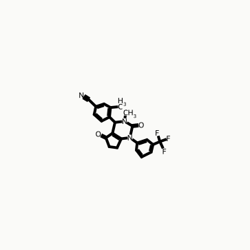 Cc1cc(C#N)ccc1C1C2=C(CCC2=O)N(c2cccc(C(F)(F)F)c2)C(=O)N1C